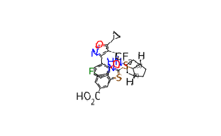 O=C(O)c1cc(F)c2nc(SC3[C@@H]4CC[C@H]3CC(NCc3c(-c5ccccc5OC(F)(F)F)noc3C3CC3)C4)sc2c1